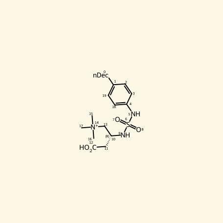 CCCCCCCCCCc1ccc(NS(=O)(=O)N[C@H](CC(=O)O)C[N+](C)(C)C)cc1